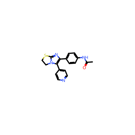 CC(=O)Nc1ccc(-c2nc3n(c2-c2ccncc2)CCS3)cc1